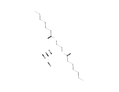 C=C.C=C.C=C.C=C.CCCCCCC(=O)OCCOC(=O)CCCCCC